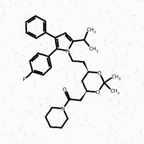 CC(C)c1cc(-c2ccccc2)c(-c2ccc(F)cc2)n1CC[C@@H]1C[C@H](CC(=O)N2CCCCC2)OC(C)(C)O1